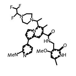 CNc1cc(-c2ccn3c(C(C)N4CCN(C(F)C(F)F)CC4)c(C)c(C(=O)NCc4c(OC)cc(C)[nH]c4=O)cc23)ccn1